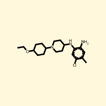 CCOC1CCC(N2CCC(Nc3cc(Cl)c(C)cc3N)CC2)CC1